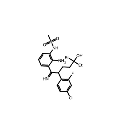 CCC(O)(CC)CCC(C(=N)c1cccc(NS(C)(=O)=O)c1N)c1ccc(Cl)cc1F